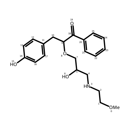 COCCNCC(O)COC(Cc1ccc(O)cc1)C(=O)c1ccccc1